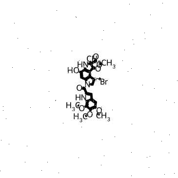 COC(=O)[C@]1(C)Nc2c(O)cc3c(c2C1=O)[C@H](CBr)CN3C(=O)c1cc2cc(OC)c(OC)c(OC)c2[nH]1